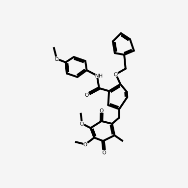 COC1=C(OC)C(=O)C(Cc2ccc(OCc3ccccc3)c(C(=O)Nc3ccc(OC)cc3)c2)=C(C)C1=O